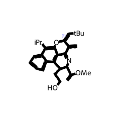 C=C1C2=NC(C(=C)OC)C(CCO)c3c2c(c(C(C)C)c2ccccc32)O/C1=C/C(C)(C)C